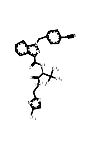 Cc1coc(CNC(=O)[C@@H](NC(=O)c2nn(Cc3ccc(C#N)cc3)c3ccccc23)C(C)(C)C)n1